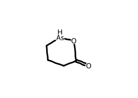 O=C1CCC[AsH]O1